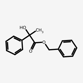 CC(O)(C(=O)OCc1ccccc1)c1ccccc1